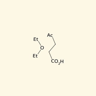 CC(=O)CCC(=O)O.CCOCC